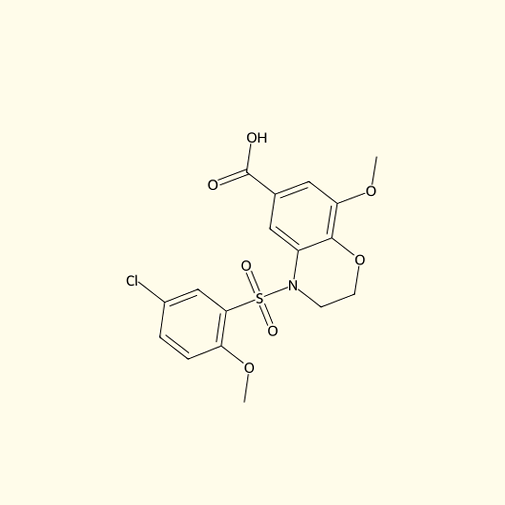 COc1ccc(Cl)cc1S(=O)(=O)N1CCOc2c(OC)cc(C(=O)O)cc21